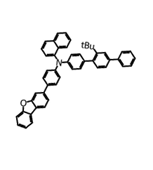 CC(C)(C)c1cc(-c2ccccc2)ccc1-c1ccc(N(c2ccc(-c3ccc4c(c3)oc3ccccc34)cc2)c2cccc3ccccc23)cc1